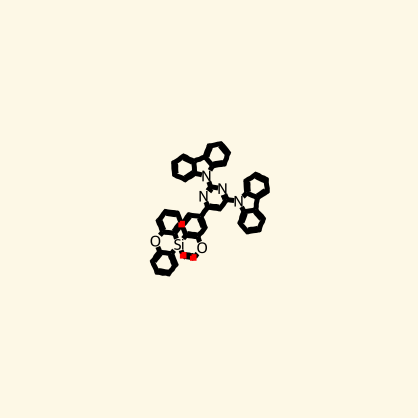 c1ccc2c(c1)Oc1ccccc1[Si]21c2ccccc2Oc2cc(-c3cc(-n4c5ccccc5c5ccccc54)nc(-n4c5ccccc5c5ccccc54)n3)ccc21